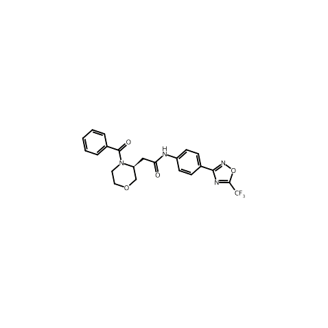 O=C(C[C@H]1COCCN1C(=O)c1ccccc1)Nc1ccc(-c2noc(C(F)(F)F)n2)cc1